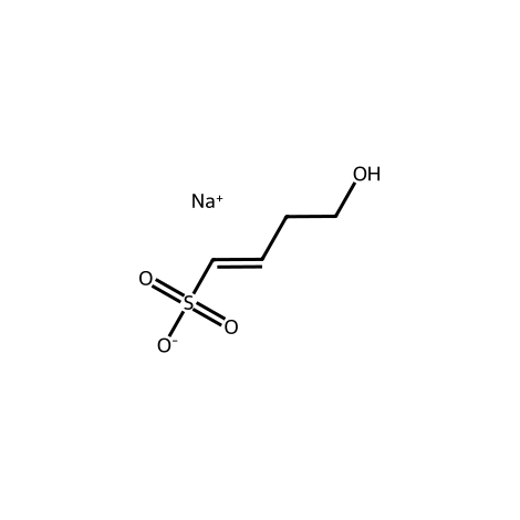 O=S(=O)([O-])/C=C/CCO.[Na+]